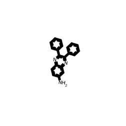 Nc1ccc2nc(-c3ccccc3)c(-c3ccccc3)nc2c1